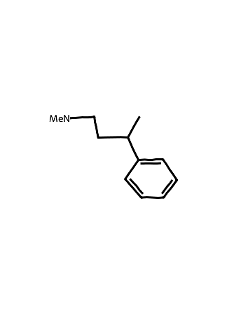 CNCCC(C)c1ccccc1